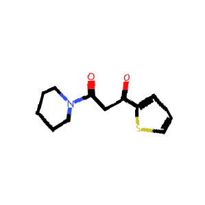 O=C(CC(=O)N1CCCCC1)c1cccs1